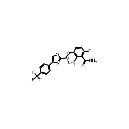 C[C@@H](Oc1ccc(F)c(C(N)=O)c1F)c1nc(-c2ccc(C(F)(F)F)cc2)co1